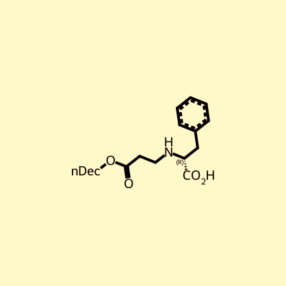 CCCCCCCCCCOC(=O)CCN[C@H](Cc1ccccc1)C(=O)O